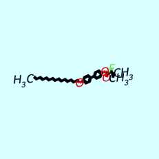 CCCCCCCCCCCCCCCCOc1ccc(-c2ccc(OC(=O)C(F)C(C)C)cc2)cc1